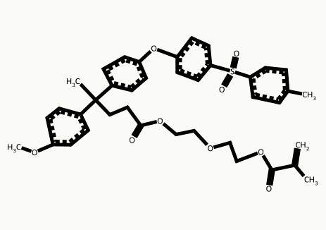 C=C(C)C(=O)OCCOCCOC(=O)CCC(C)(c1ccc(OC)cc1)c1ccc(Oc2ccc(S(=O)(=O)c3ccc(C)cc3)cc2)cc1